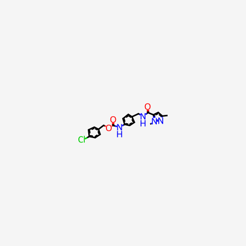 Cc1cc(C(=O)NCc2ccc(NC(=O)OCc3ccc(Cl)cc3)cc2)n(C)n1